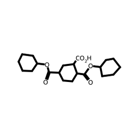 O=C(OC1CCCCC1)C1CCC(C(=O)OC2CCCCC2)C(C(=O)O)C1